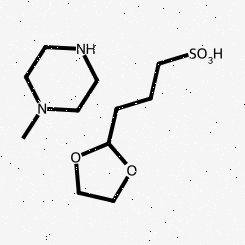 CN1CCNCC1.O=S(=O)(O)CCCC1OCCO1